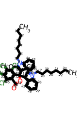 CCCCCCCCn1c(C)c(C2(c3c(C)n(CCCCCCCC)c4ccccc34)OC(=O)c3c(Cl)c(Cl)c(Cl)c(Cl)c32)c2ccccc21